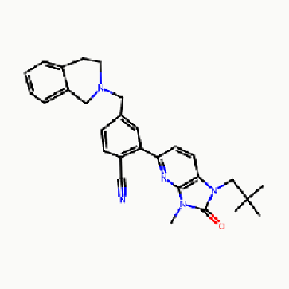 Cn1c(=O)n(CC(C)(C)C)c2ccc(-c3cc(CN4CCc5ccccc5C4)ccc3C#N)nc21